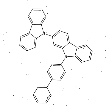 C1=CCC(c2ccc(-n3c4ccccc4c4ccc(-n5c6ccccc6c6ccccc65)cc43)cc2)C=C1